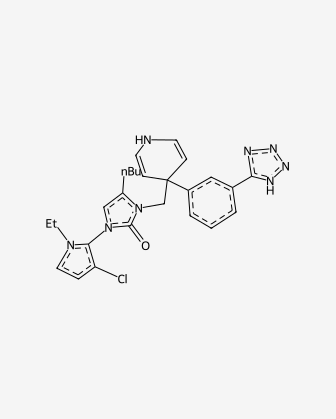 CCCCc1cn(-c2c(Cl)ccn2CC)c(=O)n1CC1(c2cccc(-c3nnn[nH]3)c2)C=CNC=C1